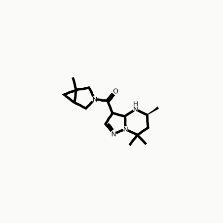 C[C@H]1CC(C)(C)N2N=CC(C(=O)N3CC4CC4(C)C3)C2N1